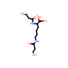 O=C(CCS)NCCCCC(NC(=O)CCS)C(=O)O